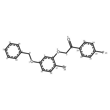 O=C(COc1cc(OCc2ccccc2)ccc1Br)c1ccc(F)cc1